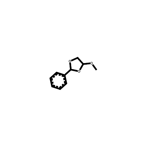 COC1CO[C](c2ccccc2)O1